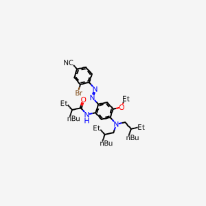 CCCCC(CC)CN(CC(CC)CCCC)c1cc(NC(=O)C(CC)CCCC)c(/N=N/c2ccc(C#N)cc2Br)cc1OCC